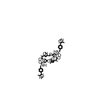 Cc1cc([C@H](C)C(=O)N2C[C@H](OCc3cc([C@@H](C)C(=O)N4C[C@H](O)C[C@H]4C(=O)NCc4ccc(-c5scnc5C)cc4)on3)C[C@H]2C(=O)NCc2ccc(-c3scnc3C)cc2)on1